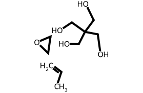 C1CO1.C=CC.OCC(CO)(CO)CO